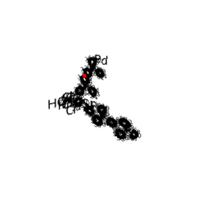 C[C@@](O)(C(=O)Nc1ccc(Sc2ccccc2F)cc1Cl)C(F)(F)F.[Pd].c1ccc(P(c2ccccc2)c2ccccc2)cc1.c1ccc(P(c2ccccc2)c2ccccc2)cc1.c1ccc(P(c2ccccc2)c2ccccc2)cc1.c1ccc(P(c2ccccc2)c2ccccc2)cc1